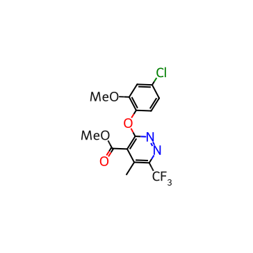 COC(=O)c1c(Oc2ccc(Cl)cc2OC)nnc(C(F)(F)F)c1C